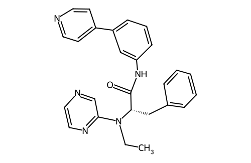 CCN(c1cnccn1)[C@@H](Cc1ccccc1)C(=O)Nc1cccc(-c2ccncc2)c1